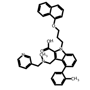 Cc1ccccc1-c1cccc2c1c(CN(C)Cc1cccnc1)c(C(=O)O)n2CCCOc1cccc2ccccc12